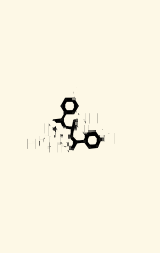 Cl.Cl.NCC(N)(c1n[nH]cc1-c1ccc(Cl)cc1)c1n[nH]cc1-c1ccc(Cl)cc1